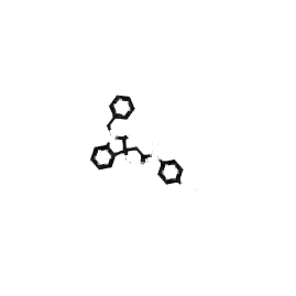 CC(=O)NC1(CC(=O)Nc2ccc(C)cc2)C(=O)N(Cc2ccccc2)c2ccccc21